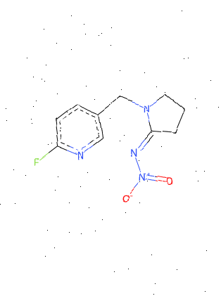 O=[N+]([O-])N=C1CCCN1Cc1ccc(F)nc1